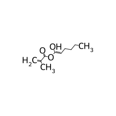 C=C(C)C(=O)OC(O)=CCCCC